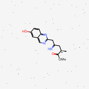 COC(=O)[C@H](C)CC(=N)Cc1ncc2cc(O)ccc2n1